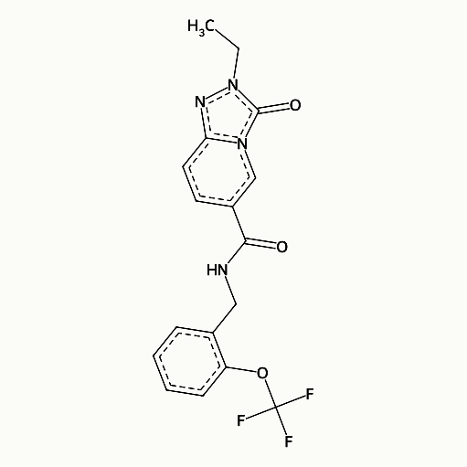 CCn1nc2ccc(C(=O)NCc3ccccc3OC(F)(F)F)cn2c1=O